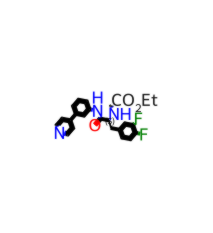 CCOC(=O)CN[C@@H](Cc1ccc(F)c(F)c1)C(=O)Nc1cccc(-c2ccncc2)c1